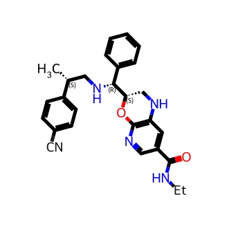 CCNC(=O)c1cnc2c(c1)NC[C@@H]([C@H](NC[C@@H](C)c1ccc(C#N)cc1)c1ccccc1)O2